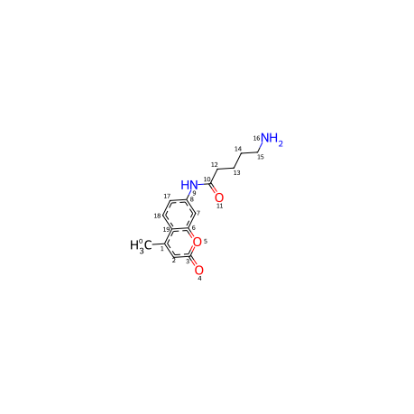 Cc1cc(=O)oc2cc(NC(=O)CCCCN)ccc12